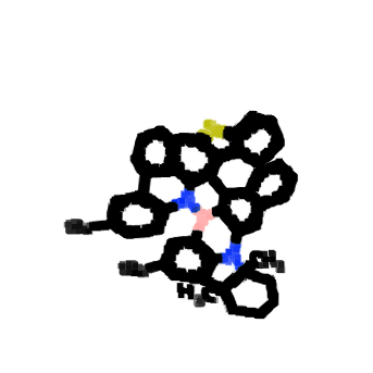 CC(C)(C)c1ccc(N2B3c4cc(C(C)(C)C)cc5c4N(c4cc6ccccc6c(c43)-c3c2ccc2sc4ccccc4c32)C2(C)CCCCC52C)c(-c2ccccc2)c1